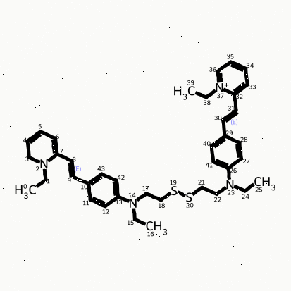 CCN1CC=CC=C1/C=C/c1ccc(N(CC)CCSSCCN(CC)c2ccc(/C=C/c3cccc[n+]3CC)cc2)cc1